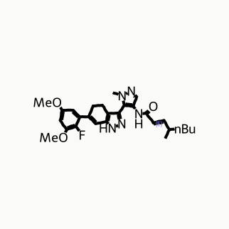 CCCCC(C)/C=C/C(=O)Nc1cnn(C)c1-c1n[nH]c2c1CCC(c1cc(OC)cc(OC)c1F)=C2